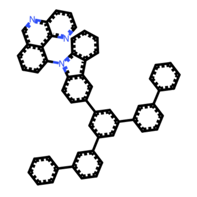 c1ccc(-c2cccc(-c3cc(-c4cccc(-c5ccccc5)c4)cc(-c4ccc5c(c4)c4ccccc4n5-c4cccc5cnc6cccnc6c45)c3)c2)cc1